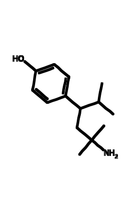 CC(C)C(CC(C)(C)N)c1ccc(O)cc1